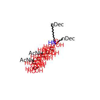 CCCCCCCCCCCCC/C=C/[C@@H](O)[C@H](CO[C@@H]1OC(CO)[C@@H](O[C@@H]2OC(CO)[C@H](O[C@@H]3OC(CO)[C@H](O)[C@H](O[C@@H]4OC(CO)[C@H](O)[C@H](O[C@@H]5OC(CO)[C@@H](O[C@@H]6OC(CO)[C@H](O)[C@H](O)C6O)[C@H](O)C5NC(C)=O)C4O)C3NC(C)=O)[C@H](O)C2O)[C@H](O)C1O)NC(=O)CCCCCCCCCCCCCCCCCCCCC